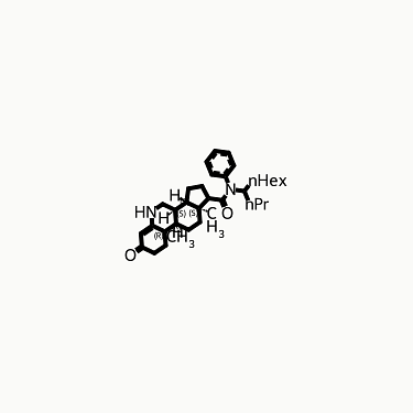 CCCCCCC(CCC)N(C(=O)C1CC[C@H]2[C@@H]3CNC4=CC(=O)CC[C@]4(C)[C@@H]3CC[C@]12C)c1ccccc1